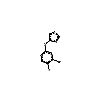 Brc1ccc(Oc2co[c]n2)cc1Br